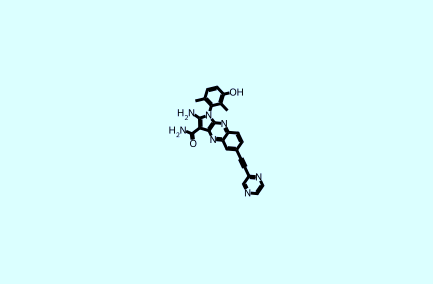 Cc1ccc(O)c(C)c1-n1c(N)c(C(N)=O)c2nc3cc(C#Cc4cnccn4)ccc3nc21